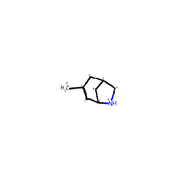 CC1CC2CNC(C1)C2